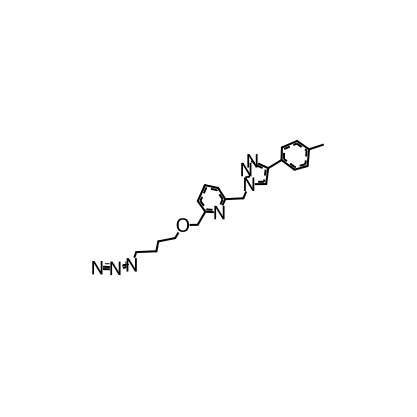 Cc1ccc(-c2cn(Cc3cccc(COCCCCN=[N+]=[N-])n3)nn2)cc1